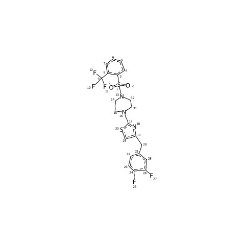 O=S(=O)(c1ccccc1C(F)(F)F)N1CCN(c2nc(Cc3ccc(F)c(F)c3)cs2)CC1